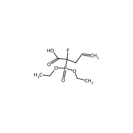 C=CCC(F)(C(=O)O)P(=O)(OCC)OCC